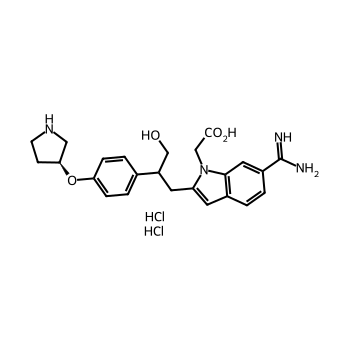 Cl.Cl.N=C(N)c1ccc2cc(CC(CO)c3ccc(O[C@H]4CCNC4)cc3)n(CC(=O)O)c2c1